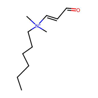 CCCCCC[N+](C)(C)C=CC=O